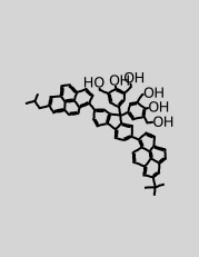 CC(C)Cc1cc2ccc3ccc(-c4ccc5c(c4)C(c4cc(CO)c(O)c(CO)c4)(c4cc(CO)c(O)c(CO)c4)c4cc(-c6ccc7ccc8cc(C(C)(C)C)cc9ccc6c7c89)ccc4-5)c4ccc(c1)c2c34